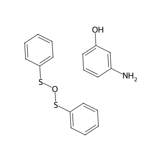 Nc1cccc(O)c1.c1ccc(SOSc2ccccc2)cc1